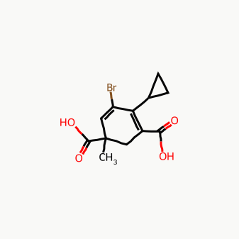 CC1(C(=O)O)C=C(Br)C(C2CC2)=C(C(=O)O)C1